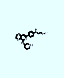 CCOCCNc1ccc(-c2cc3nccnc3c(NC3CCCNC3)n2)cc1